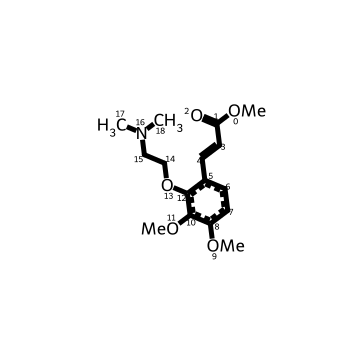 COC(=O)/C=C/c1ccc(OC)c(OC)c1OCCN(C)C